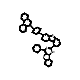 c1ccc(C2=C3Sc4ccccc4C3NC(c3cccc4oc5cc(-c6ccc(-c7cc8ccccc8c8ccccc78)cc6)ccc5c34)=N2)cc1